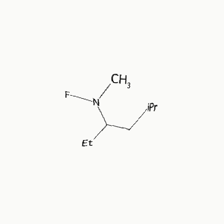 CCC(CC(C)C)N(C)F